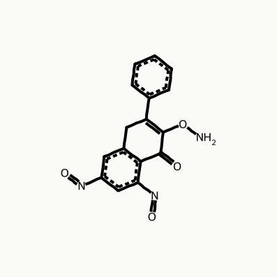 NOC1=C(c2ccccc2)Cc2cc(N=O)cc(N=O)c2C1=O